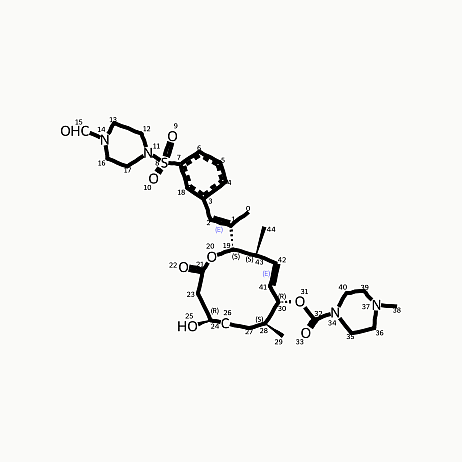 C/C(=C\c1cccc(S(=O)(=O)N2CCN(C=O)CC2)c1)[C@H]1OC(=O)C[C@H](O)CC[C@H](C)[C@@H](OC(=O)N2CCN(C)CC2)/C=C/[C@@H]1C